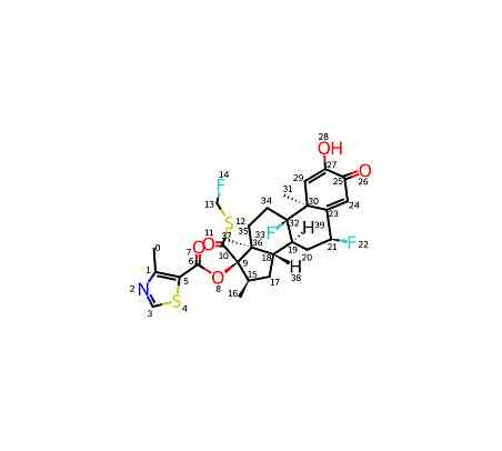 Cc1ncsc1C(=O)O[C@]1(C(=O)SCF)[C@H](C)C[C@H]2[C@@H]3C[C@H](F)C4=CC(=O)C(O)=C[C@]4(C)[C@@]3(F)CC[C@@]21C